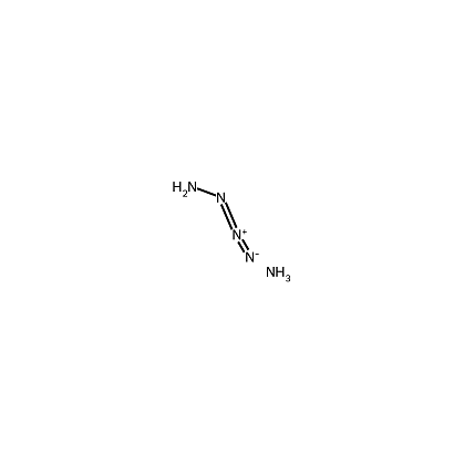 N.[N-]=[N+]=NN